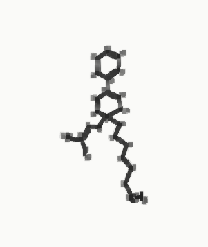 CCCCCCCC1(CC=C(F)F)C=CC(c2ccccc2)=CC1